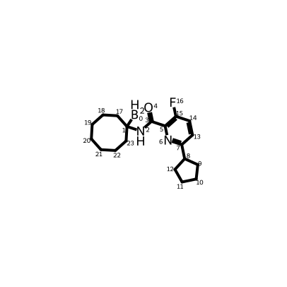 BC1(NC(=O)c2nc(C3CCCC3)ccc2F)CCCCCCC1